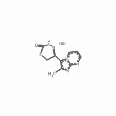 Br.Cc1nc2ncccn2c1C1=NNC(=O)SC1